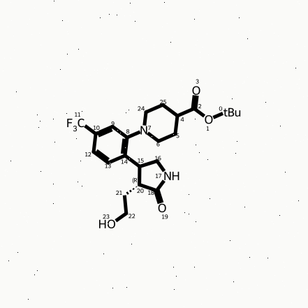 CC(C)(C)OC(=O)C1CCN(c2cc(C(F)(F)F)ccc2C2CNC(=O)[C@@H]2CCO)CC1